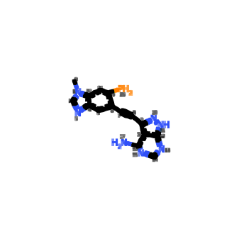 Cn1cnc2cc(C#Cc3n[nH]c4ncnc(N)c34)c(P)cc21